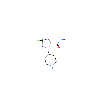 CONC(=O)[C@H]1CC(F)(F)CN1C1CCN(C)CC1